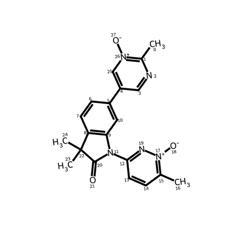 Cc1ncc(-c2ccc3c(c2)N(c2ccc(C)[n+]([O-])n2)C(=O)C3(C)C)c[n+]1[O-]